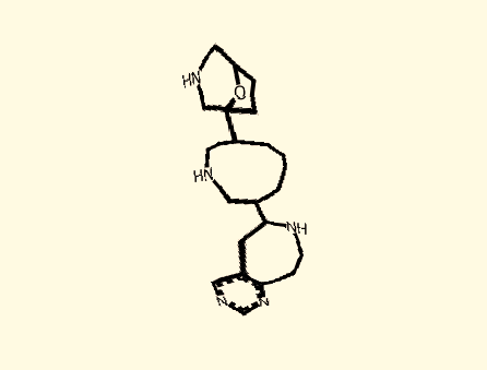 c1ncc2c(n1)CCNC(C1CCCC(C34CCC(CNC3)O4)CNC1)C2